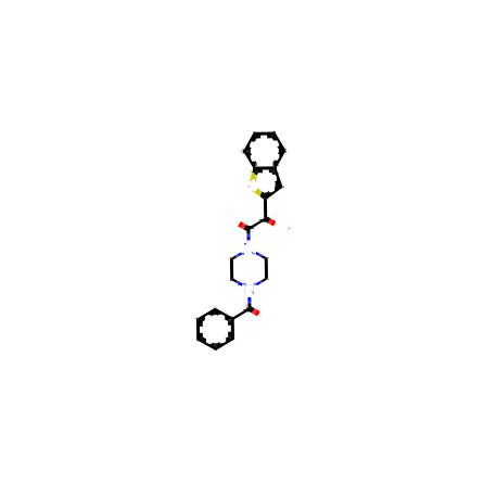 O=C(C(=O)N1CCN(C(=O)c2ccccc2)CC1)c1cc2ccccc2s1